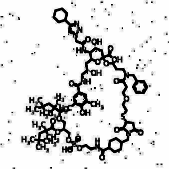 Cc1cc(C(=O)NC[C@@H](O)CC2O[C@@](OCCCN(Cc3ccccc3)C(=O)CCOCCSC3CC(=O)N(CC4CCC(C(=O)NCCOP(=O)(O)OCC(COC(=O)C(C)(C)CC(C)(C)C)OC(=O)C(C)(C)CC(C)(C)C)CC4)C3=O)(C(=O)O)C[C@@H](O)C2NC(=O)Cn2cc(C3CCCCC3)nn2)cc(C)c1O